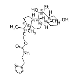 CC[C@H]1[C@@H](O)[C@@H]2[C@H](CC[C@]3(C)[C@@H]([C@H](C)CCOC(=O)NCCc4cccs4)CC[C@@H]23)[C@@]2(C)CC[C@@H](O)C[C@@H]12